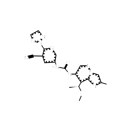 CO[C@@H](C)c1c(NC(=O)Nc2cnc(-n3nccn3)c(C#N)c2)cnn2cc(C)nc12